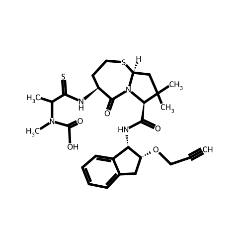 C#CCO[C@@H]1Cc2ccccc2[C@@H]1NC(=O)[C@H]1N2C(=O)[C@@H](NC(=S)C(C)N(C)C(=O)O)CCS[C@H]2CC1(C)C